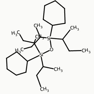 CCC(C)[Si](O[Si](C(C)CC)(C(C)CC)C1CCCCC1)(C(C)CC)C1CCCCC1